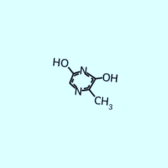 Cc1ncc(O)nc1O